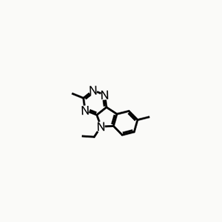 CCn1c2ccc(C)cc2c2nnc(C)nc21